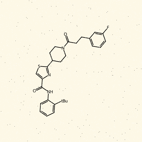 CC(C)(C)c1ccccc1NC(=O)c1csc(C2CCN(C(=O)CCc3cccc(F)c3)CC2)n1